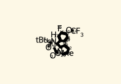 COC(=O)C[C@](N[S@+]([O-])C(C)(C)C)(c1ccc(OC(F)(F)F)c(F)c1)c1ncccc1F